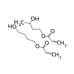 C=CC(=O)OCCC(C)O.C=CC(=O)OCCCCO